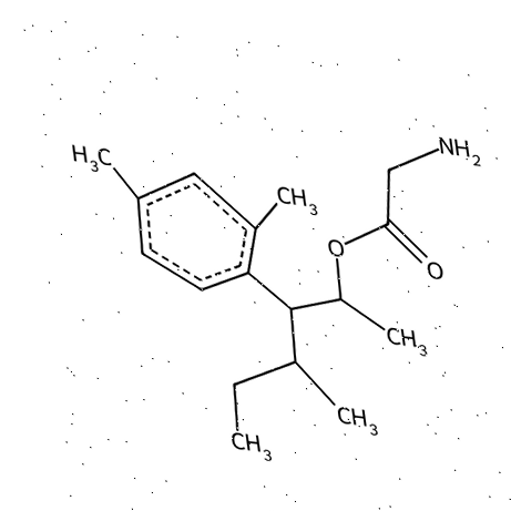 CCC(C)C(c1ccc(C)cc1C)C(C)OC(=O)CN